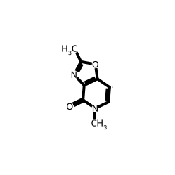 Cc1nc2c(=O)n(C)c[c]c2o1